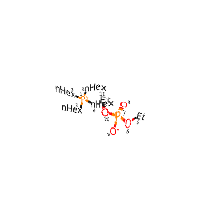 CCCCCC[P+](CCCCCC)(CCCCCC)CCCCCC.CCOP(=O)([O-])OCC